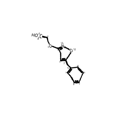 O=C(O)COc1cc(-c2ccccc2)on1